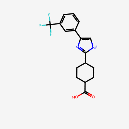 O=C(O)C1CCC(c2nc(-c3cccc(C(F)(F)F)c3)c[nH]2)CC1